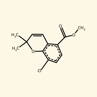 COC(=O)c1ccc(Cl)c2c1C=CC(C)(C)O2